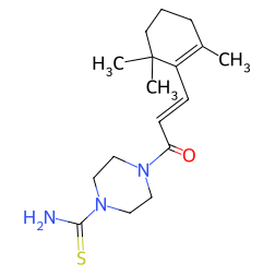 CC1=C(C=CC(=O)N2CCN(C(N)=S)CC2)C(C)(C)CCC1